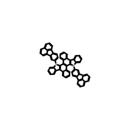 c1cc2c3c(cccc3c1)-c1cc(-n3c4ccccc4c4c5ccccc5c5c(c6ccccc6c6c7ccccc7n(-c7ccc8c(c7)-c7cccc9cccc-8c79)c65)c43)ccc1-2